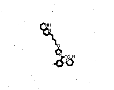 O=C(O)C(c1cc(F)ccc1[C@@H]1CCCCO1)N1CC[C@@H](OCCCCc2ccc3c(n2)NCCC3)C1